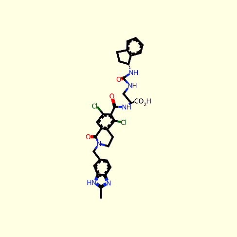 Cc1nc2ccc(CN3CCc4c(cc(Cl)c(C(=O)N[C@@H](CNC(=O)N[C@@H]5CCc6ccccc65)C(=O)O)c4Cl)C3=O)cc2[nH]1